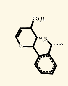 C[C@@H](N)c1ccccc1C1CC(C(=O)O)C=CO1